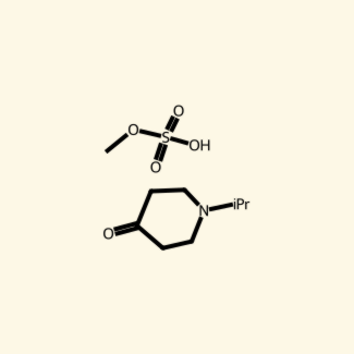 CC(C)N1CCC(=O)CC1.COS(=O)(=O)O